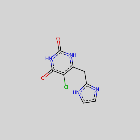 O=c1[nH]c(Cc2ncc[nH]2)c(Cl)c(=O)[nH]1